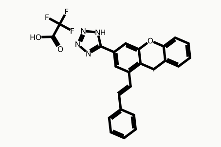 O=C(O)C(F)(F)F.[CH]1c2ccccc2Oc2cc(-c3nnn[nH]3)cc(C=Cc3ccccc3)c21